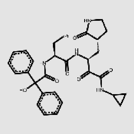 CC(C)C[C@H](NC(=O)C(O)(c1ccccc1)c1ccccc1)C(=O)N[C@@H](C[C@H]1CCNC1=O)C(=O)C(=O)NC1CC1